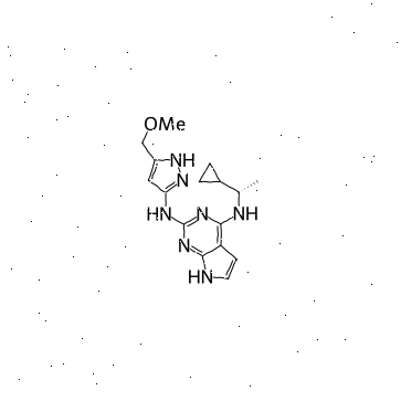 COCc1cc(Nc2nc(N[C@@H](C)C3CC3)c3cc[nH]c3n2)n[nH]1